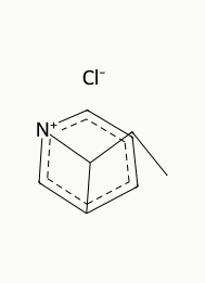 CCC1c2ccc[n+]1c2.[Cl-]